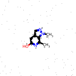 Cc1nc(O)cc2cnn(C)c12